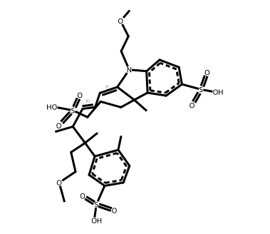 COCCN1/C(=C/C=C/C(C)C(C)(CCOC)c2cc(S(=O)(=O)O)ccc2C)C(C)(CCCS(=O)(=O)O)c2cc(S(=O)(=O)O)ccc21